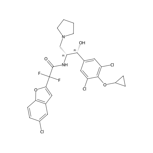 O=C(N[C@H](CN1CCCC1)[C@H](O)c1cc(Cl)c(OC2CC2)c(Cl)c1)C(F)(F)c1cc2cc(Cl)ccc2o1